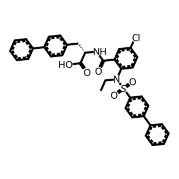 CCN(c1ccc(Cl)cc1C(=O)N[C@@H](Cc1ccc(-c2ccccc2)cc1)C(=O)O)S(=O)(=O)c1ccc(-c2ccccc2)cc1